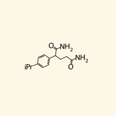 CC(C)c1ccc(C(CCC(N)=O)C(N)=O)cc1